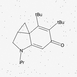 CC(C)N1CC2CC23C1=CC(=O)C(C(C)(C)C)=C3C(C)(C)C